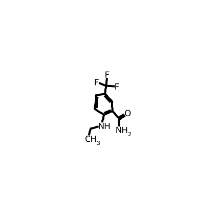 CCNc1ccc(C(F)(F)F)cc1C(N)=O